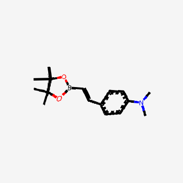 CN(C)c1ccc(/C=C/B2OC(C)(C)C(C)(C)O2)cc1